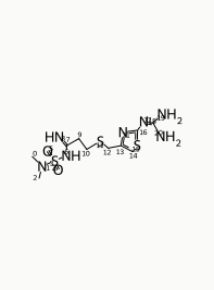 CN(C)S(=O)(=O)NC(=N)CCSCc1csc(N=C(N)N)n1